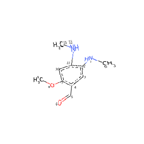 CNc1cc(C=O)c(OC)cc1NC